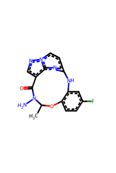 CC1Oc2ccc(F)cc2Nc2ccn3ncc(c3n2)C(=O)N1N